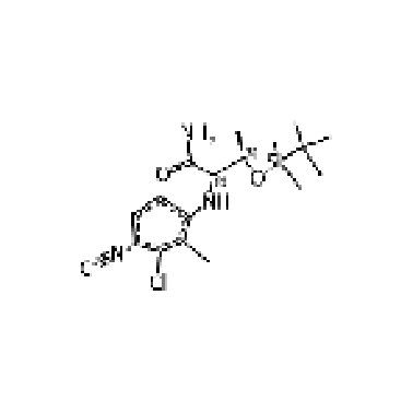 [C-]#[N+]c1ccc(N[C@@H](C(N)=O)[C@@H](C)O[Si](C)(C)C(C)(C)C)c(C)c1Cl